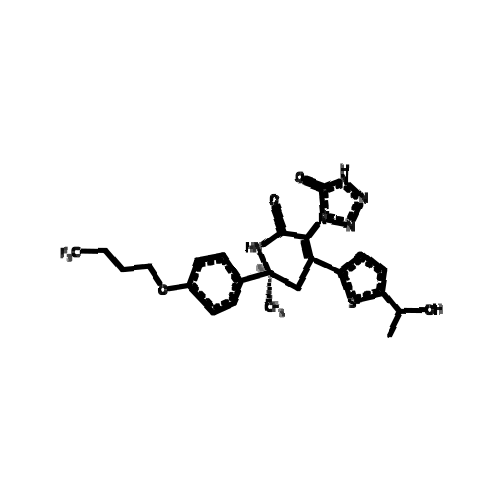 CC(O)c1ccc(C2=C(n3nn[nH]c3=O)C(=O)N[C@@](c3ccc(OCCCC(F)(F)F)cc3)(C(F)(F)F)C2)s1